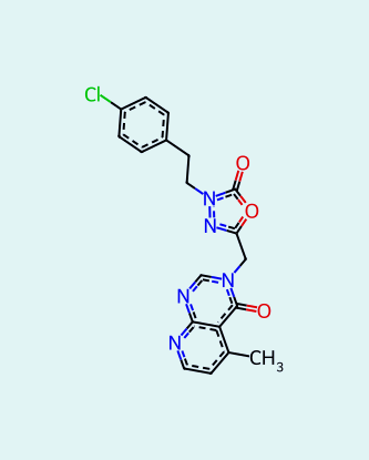 Cc1ccnc2ncn(Cc3nn(CCc4ccc(Cl)cc4)c(=O)o3)c(=O)c12